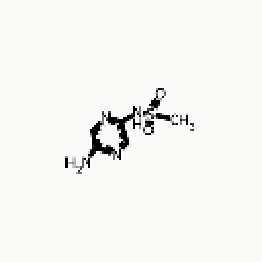 CS(=O)(=O)Nc1cnc(N)cn1